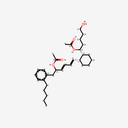 CCCCCc1ccccc1CC(/C=C/C=C/[C@H]1CCCC[C@H]1C(CCCCO)OC(C)=O)OC(C)=O